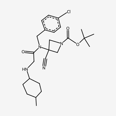 CC1CCC(NCC(=O)N(Cc2ccc(Cl)cc2)C2(C#N)CN(C(=O)OC(C)(C)C)C2)CC1